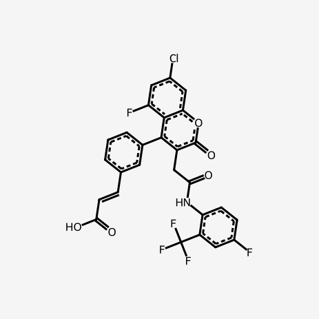 O=C(O)C=Cc1cccc(-c2c(CC(=O)Nc3ccc(F)cc3C(F)(F)F)c(=O)oc3cc(Cl)cc(F)c23)c1